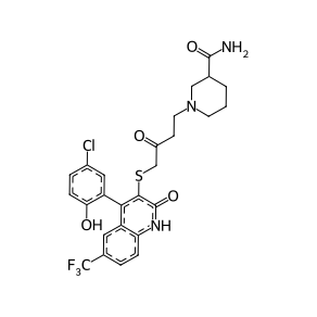 NC(=O)C1CCCN(CCC(=O)CSc2c(-c3cc(Cl)ccc3O)c3cc(C(F)(F)F)ccc3[nH]c2=O)C1